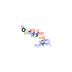 Cc1c(N)nc([S+]([O-])CSC2=C(C(=O)O)N3C(=O)[C@@H](NC(=O)CSc4cc(Cl)ccc4Cl)[C@H]3SC2)[n+](N)c1N